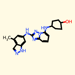 Cc1cc(Nc2nc3cccc(NC4CCC(O)CC4)n3n2)cc2[nH]ncc12